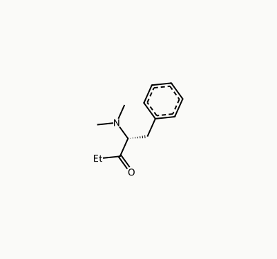 CCC(=O)[C@@H](Cc1ccccc1)N(C)C